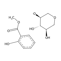 COC(=O)c1ccccc1O.[O][C@H]1COC[C@@H](O)[C@@H]1O